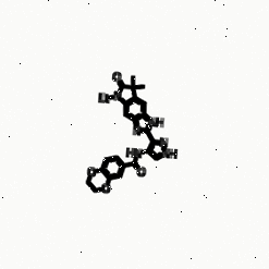 CCN1C(=O)C(C)(C)c2cc3[nH]c(-c4n[nH]cc4NC(=O)c4ccc5c(c4)OCCO5)nc3cc21